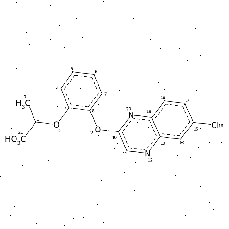 CC(Oc1ccccc1Oc1cnc2cc(Cl)ccc2n1)C(=O)O